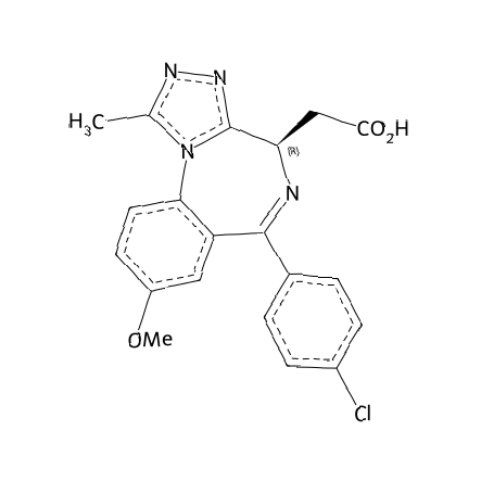 COc1ccc2c(c1)C(c1ccc(Cl)cc1)=N[C@H](CC(=O)O)c1nnc(C)n1-2